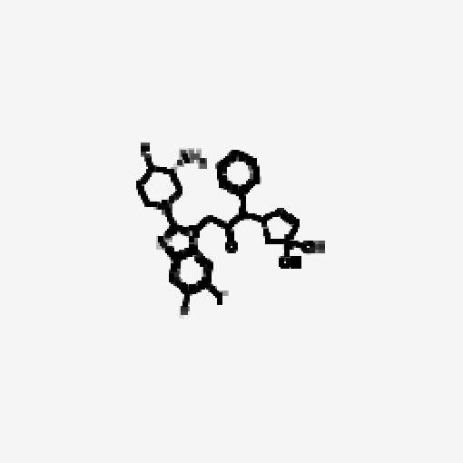 N[C@@H]1CN(c2nc3cc(F)c(F)cc3n2CC(=O)N(c2ccccc2)C2C=CS(O)(O)C2)CC[C@H]1F